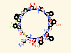 CCCC[C@H]1C(=O)N2CCC[C@@H]2C(=O)N[C@@H](CC(=O)O)C(=O)N[C@@H](C(C)C)C(=O)N(C)[C@@H](Cc2ccccc2)C(=O)N[C@@H](Cc2ccc(O)cc2)C(=O)N2CCC[C@@H]2C(=O)N[C@@H](Cc2c[nH]c3ccccc23)C(=O)N[C@@H](Cc2ccc(O)cc2)C(=O)N[C@@H](CCO)C(=O)N[C@H](C(=O)NCC(N)=O)CSCC(=O)N[C@@H](Cc2cc(F)c(F)c(F)c2)C(=O)N(C)[C@@H](Cc2ccccc2)C(=O)N1C